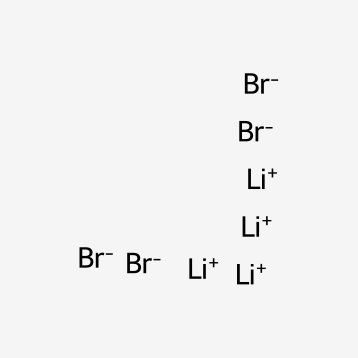 [Br-].[Br-].[Br-].[Br-].[Li+].[Li+].[Li+].[Li+]